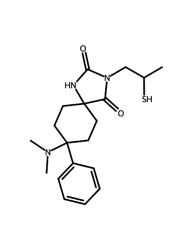 CC(S)CN1C(=O)NC2(CCC(c3ccccc3)(N(C)C)CC2)C1=O